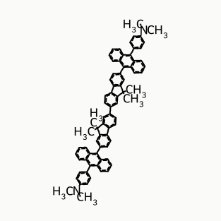 CN(C)c1ccc(-c2c3ccccc3c(-c3ccc4c(c3)C(C)(C)c3cc(-c5ccc6c(c5)C(C)(C)c5cc(-c7c8ccccc8c(-c8ccc(N(C)C)cc8)c8ccccc78)ccc5-6)ccc3-4)c3ccccc23)cc1